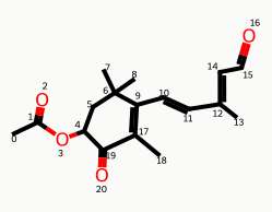 CC(=O)OC1CC(C)(C)C(C=CC(C)=CC=O)=C(C)C1=O